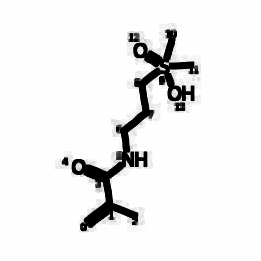 C=C(C)C(=O)NCCCS(C)(C)(=O)O